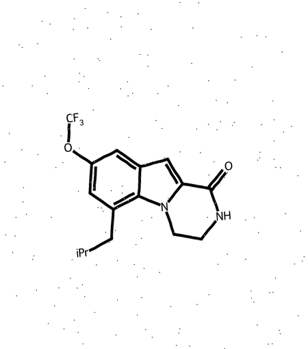 CC(C)Cc1cc(OC(F)(F)F)cc2cc3n(c12)CCNC3=O